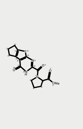 COC(=O)C1CCCN1C(=O)c1nc2sc3c(c2c(=O)[nH]1)CCC3